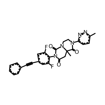 Cc1ccc(N2CCN3C(=O)N(c4c(F)cc(C#Cc5ccccc5)cc4F)C(=O)CC3(C)C2=O)nn1